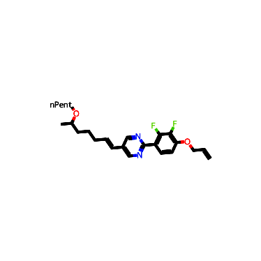 C=CCOc1ccc(-c2ncc(C=CCCCC(C)OCCCCC)cn2)c(F)c1F